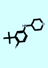 CC(C)(C)c1cc(NC2CCOCC2)ccc1F